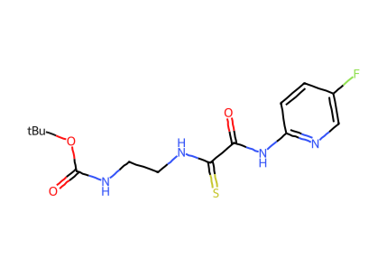 CC(C)(C)OC(=O)NCCNC(=S)C(=O)Nc1ccc(F)cn1